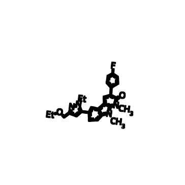 CCOCc1cc(-c2ccc3c(c2)c2cc(-c4ccc(F)cc4)c(=O)n(C)c2n3C)n(CC)n1